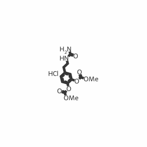 COC(=O)Oc1ccc(CCNC(N)=O)cc1OC(=O)OC.Cl